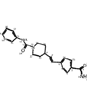 NC(=O)c1ccc(/C=C/C2CCN(C(=O)Nc3cccnc3)CC2)cc1